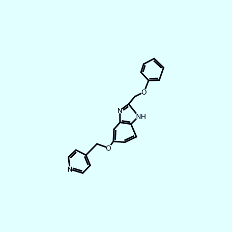 c1ccc(OCc2nc3cc(OCc4ccncc4)ccc3[nH]2)cc1